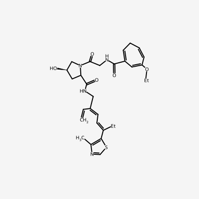 C=C/C(=C\C=C(/CC)c1scnc1C)CNC(=O)C1C[C@@H](O)CN1C(=O)CNC(=O)C1=CCC=CC(OCC)=C1